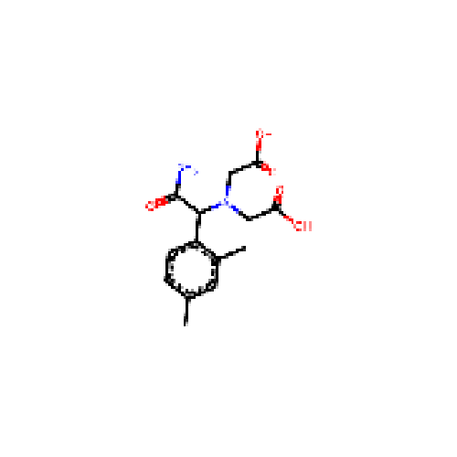 Cc1ccc(C(C(N)=O)N(CC(=O)O)CC(=O)O)c(C)c1